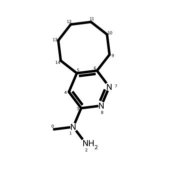 CN(N)c1cc2c(nn1)CCCCCC2